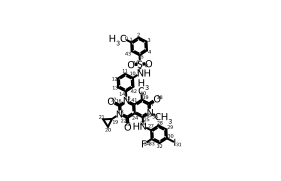 Cc1cccc(S(=O)(=O)Nc2cccc(-n3c(=O)n(C4CC4)c(=O)c4c(Nc5ccc(I)cc5F)n(C)c(=O)c(C)c43)c2)c1